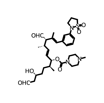 C/C(=C\c1cccc(N2CCCS2(=O)=O)c1)[C@@H](C=O)[C@@H](C)/C=C/[C@H](OC(=O)N1CCN(C)CC1)[C@@H](C)CC[C@@H](O)CC=O